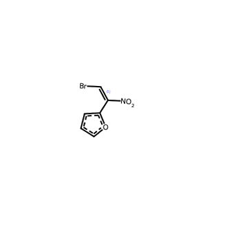 O=[N+]([O-])/C(=C/Br)c1ccco1